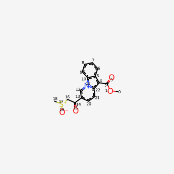 COC(=O)c1c2ccccc2n2cc(C(=O)C[S+](C)[O-])ccc12